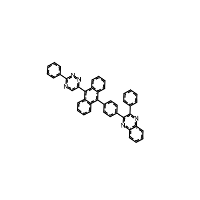 c1ccc(-c2ncc(-c3c4ccccc4c(-c4ccc(-c5nc6ccccc6nc5-c5ccccc5)cc4)c4ccccc34)nn2)cc1